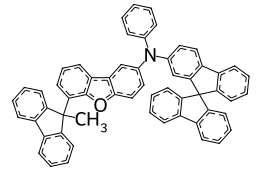 CC1(c2cccc3c2oc2ccc(N(c4ccccc4)c4ccc5c(c4)C4(c6ccccc6-c6ccccc64)c4ccccc4-5)cc23)c2ccccc2-c2ccccc21